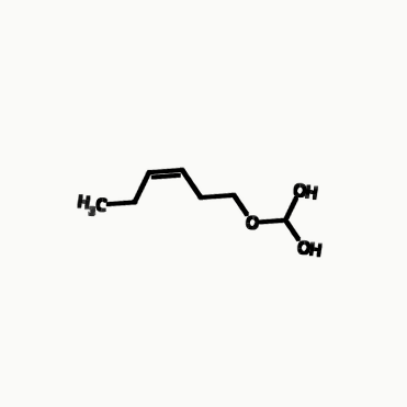 CC/C=C\CCOC(O)O